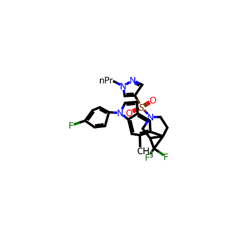 CCCn1cc(S(=O)(=O)N2CCC3(c4cc5ccn(-c6ccc(F)cc6)c5cc4C)C(C2)C3(F)F)cn1